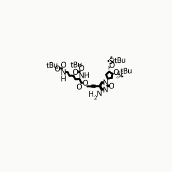 CC(C)(C)OC(=O)NCCCCC(NC(=O)OC(C)(C)C)C(=O)OCC#Cc1cn([C@@H]2C[C@H](CO[Si](C)(C)C(C)(C)C)[C@H](O[Si](C)(C)C(C)(C)C)C2)c(=O)nc1N